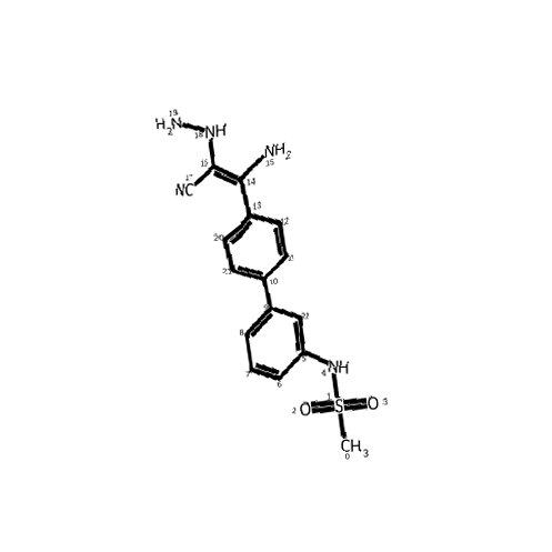 CS(=O)(=O)Nc1cccc(-c2ccc(/C(N)=C(\C#N)NN)cc2)c1